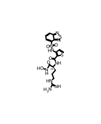 N=C(N)NCCC[C@H](NC(=O)c1sccc1NS(=O)(=O)c1cccc2nsnc12)C(=O)NO